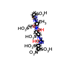 Cc1cc(N=Nc2ccc3c(S(=O)(=O)O)c(N=Nc4cnn(-c5cc(S(=O)(=O)O)c6cc([N+](=O)[O-])cc(S(=O)(=O)O)c6c5)c4O)ccc3c2O)c(OCCCS(=O)(=O)O)cc1N=Nc1nc2c(S(=O)(=O)O)cccc2s1